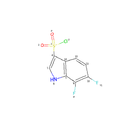 O=S(=O)(Cl)c1c[nH]c2c(F)c(F)ccc12